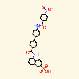 O=C(Nc1ccc(-c2ccc(C(=O)Nc3cccc4cc(S(=O)(=O)O)ccc34)cc2)cc1)c1ccc([N+](=O)[O-])cc1